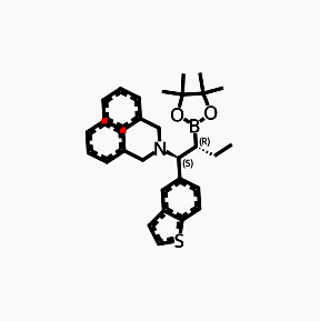 CC[C@@H](B1OC(C)(C)C(C)(C)O1)[C@@H](c1ccc2sccc2c1)N(Cc1ccccc1)Cc1ccccc1